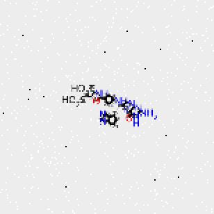 Nc1nc2ncc(CNc3ccc(C(=O)NC(CCC(=O)O)C(=O)O)cc3)nc2c(=O)[nH]1.c1ccc2ncncc2c1